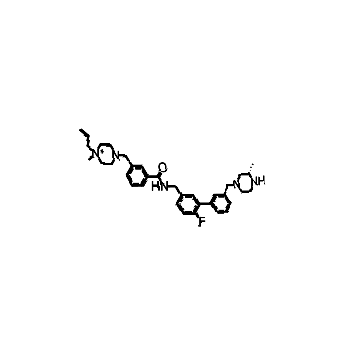 C=CC[N+]1(C)CCN(Cc2cccc(C(=O)NCc3ccc(F)c(-c4cccc(CN5CCN[C@@H](C)C5)c4)c3)c2)CC1